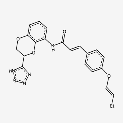 CCC=COc1ccc(C=CC(=O)Nc2cccc3c2OC(c2nnn[nH]2)CO3)cc1